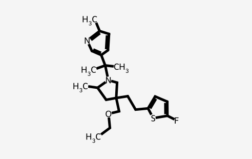 CCOCC1(CCc2ccc(F)s2)CC(C)N(C(C)(C)c2ccc(C)nc2)C1